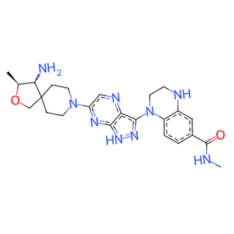 CNC(=O)c1ccc2c(c1)NCCN2c1n[nH]c2nc(N3CCC4(CC3)CO[C@@H](C)[C@H]4N)cnc12